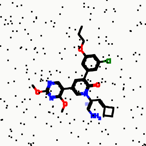 CCCOc1cc(Cl)cc(-c2cc(-c3cnc(OC)nc3OC)cn(/C(C=C3CCC3)=C/N)c2=O)c1